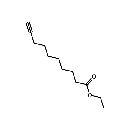 C#CCCCCCCCC(=O)OCC